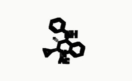 CC(=O)N1c2ccccc2[C@H](Nc2ccccc2)[C@@H](C)[C@@H]1C1CC1